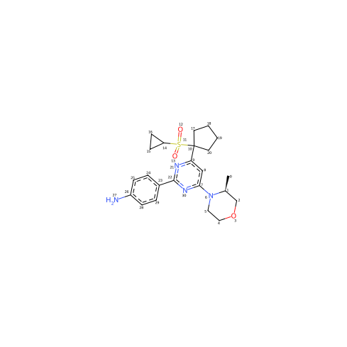 C[C@H]1COCCN1c1cc(C2(S(=O)(=O)C3CC3)CCCC2)nc(-c2ccc(N)cc2)n1